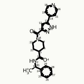 C[C@@H](NC(=O)C1CCN(C(=O)c2cc(-c3ccncc3)[nH]n2)CC1)c1ccccc1